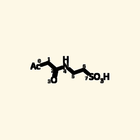 CC(=O)CC(=O)NCCS(=O)(=O)O